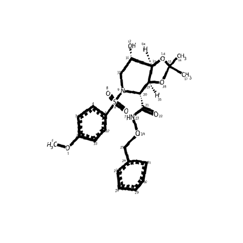 COc1ccc(S(=O)(=O)N2C[C@H](O)[C@H]3OC(C)(C)O[C@H]3[C@@H]2C(=O)NOCc2ccccc2)cc1